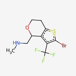 CNCC1OCCc2sc(Br)c(C(F)(F)F)c21